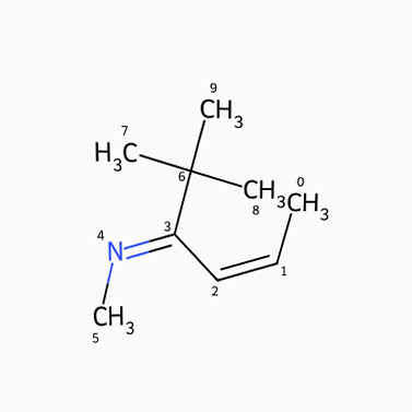 C/C=C\C(=N/C)C(C)(C)C